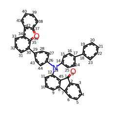 O=C1c2ccccc2-c2cccc(N(c3ccc(-c4ccccc4)cc3)c3ccc(-c4cccc5c4oc4ccccc45)cc3)c21